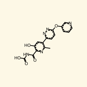 Cc1nc(C(=O)NC(=O)O)c(O)cc1-c1ccc(Oc2cccnc2)nn1